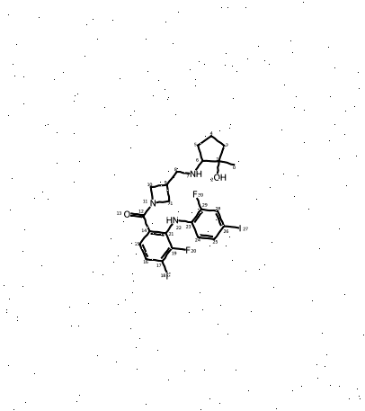 CC1(O)CCCC1NCC1CN(C(=O)c2ccc(F)c(F)c2Nc2ccc(I)cc2F)C1